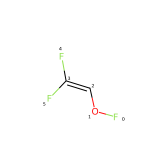 FOC=C(F)F